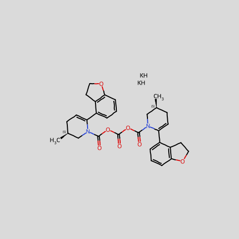 C[C@H]1CC=C(c2cccc3c2CCO3)N(C(=O)OC(=O)OC(=O)N2C[C@@H](C)CC=C2c2cccc3c2CCO3)C1.[KH].[KH]